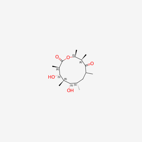 CC1C[C@H](C)[C@H](O)[C@@H](C)[C@H](O)[C@@H](C)C(=O)O[C@@H](C)[C@@H](C)C1=O